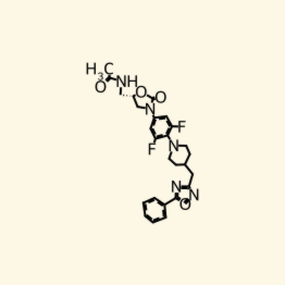 CC(=O)NC[C@H]1CN(c2cc(F)c(N3CCC(Cc4noc(-c5ccccc5)n4)CC3)c(F)c2)C(=O)O1